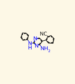 N#Cc1ccccc1-c1cnc(Nc2ccccc2)nc1N